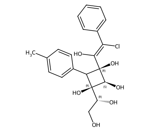 Cc1ccc(C2[C@@](O)([C@H](O)CO)[C@H](O)[C@@]2(O)C(O)=C(Cl)c2ccccc2)cc1